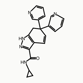 O=C(NC1CC1)c1n[nH]c2c1C=CC(c1cccnc1)(c1cccnc1)C2